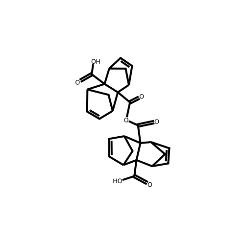 O=C(O)C12C3C=CC(C3)C1(C(=O)OC(=O)C13C4C=CC(C4)C1(C(=O)O)C1C=CC3C1)C1C=CC2C1